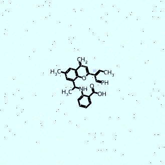 C=C1C=C(/C(C=P)=C/C)Oc2c1cc(C)cc2C(C)Nc1ccccc1C(=O)O